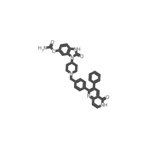 NC(=O)Oc1ccc2[nH]c(=O)n(C3CCN(Cc4ccc(-c5nc6cc[nH]c(=O)c6cc5-c5ccccc5)cc4)CC3)c2c1